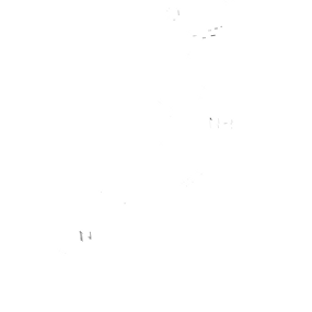 CCCC(C)N1CCC(c2ccc3[nH]c(-c4ccc(OC)c(OC)c4)c(C)c3c2)CC1